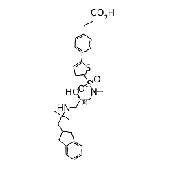 CN(C[C@H](O)CNC(C)(C)CC1Cc2ccccc2C1)S(=O)(=O)c1ccc(-c2ccc(CCC(=O)O)cc2)s1